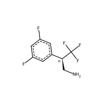 NC[C@@H](c1cc(F)cc(F)c1)C(F)(F)F